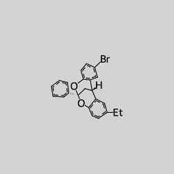 CCc1ccc2c(c1)[C@@H]1C[C@](c3ccccc3)(Oc3ccc(Br)cc31)O2